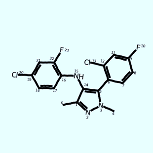 Cc1nn(C)c(-c2ccc(F)cc2Cl)c1Nc1ccc(Cl)cc1F